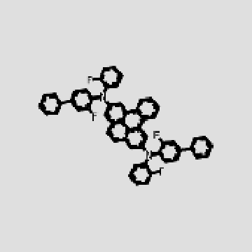 Fc1ccccc1N(c1cc2ccc3cc(N(c4ccccc4F)c4ccc(-c5ccccc5)cc4F)cc4c5ccccc5c(c1)c2c34)c1ccc(-c2ccccc2)cc1F